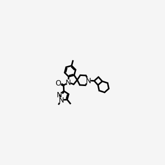 Cc1ccc2c(c1)C1(CCN(C3CC4CCCCC43)CC1)CN2C(=O)c1cc(C)n(C)n1